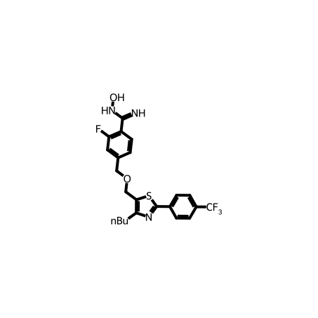 CCCCc1nc(-c2ccc(C(F)(F)F)cc2)sc1COCc1ccc(C(=N)NO)c(F)c1